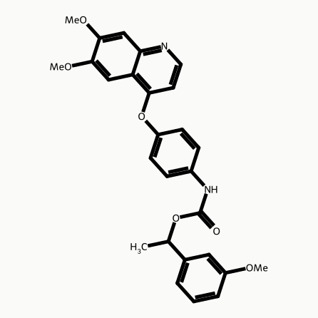 COc1cccc(C(C)OC(=O)Nc2ccc(Oc3ccnc4cc(OC)c(OC)cc34)cc2)c1